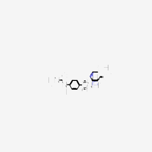 C=C/C=C\C(=C/C=C)NS(=O)(=O)c1ccc(NC(N)=O)cc1